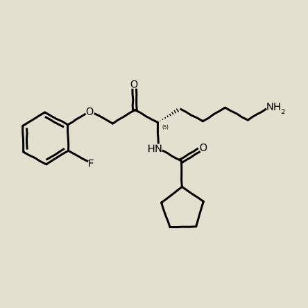 NCCCC[C@H](NC(=O)C1CCCC1)C(=O)COc1ccccc1F